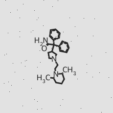 CC1CCCC(C)N1CCN1CCC(C(C(N)=O)(c2ccccc2)c2ccccc2)C1